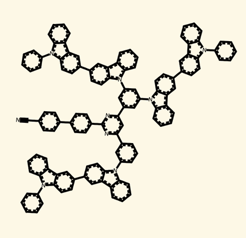 N#Cc1ccc(-c2ccc(-c3nc(-c4cccc(-n5c6ccccc6c6cc(-c7ccc8c(c7)c7ccccc7n8-c7ccccc7)ccc65)c4)cc(-c4cc(-n5c6ccccc6c6cc(-c7ccc8c(c7)c7ccccc7n8-c7ccccc7)ccc65)cc(-n5c6ccccc6c6cc(-c7ccc8c(c7)c7ccccc7n8-c7ccccc7)ccc65)c4)n3)cc2)cc1